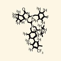 [2H]c1c([2H])c(CSc2nc(=O)c3c(n2CC(=O)N(CCN(C([2H])([2H])C)C([2H])([2H])C)Cc2c([2H])c([2H])c(-c4c([2H])c([2H])c(C(F)(F)F)c(C)c4[2H])c([2H])c2[2H])C([2H])([2H])C([2H])(C)C3([2H])[2H])c([2H])c([2H])c1F